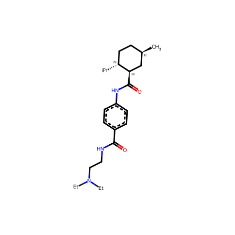 CCN(CC)CCNC(=O)c1ccc(NC(=O)[C@@H]2C[C@H](C)CC[C@H]2C(C)C)cc1